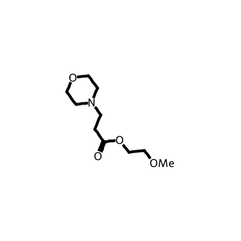 COCCOC(=O)CCN1CCOCC1